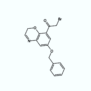 O=C(CBr)c1cc(OCc2ccccc2)cc2c1OCC=N2